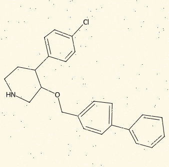 Clc1ccc(C2CCNCC2OCc2ccc(-c3ccccc3)cc2)cc1